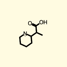 CC(C(=O)O)C1CCCC[N]1